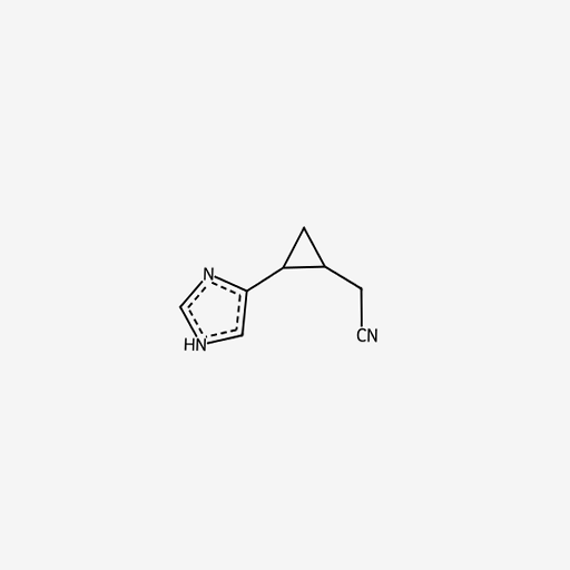 N#CCC1CC1c1c[nH]cn1